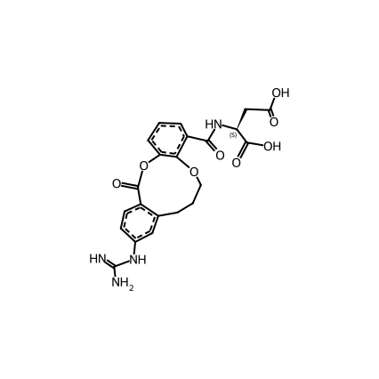 N=C(N)Nc1ccc2c(c1)CCCOc1c(cccc1C(=O)N[C@@H](CC(=O)O)C(=O)O)OC2=O